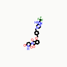 O=C1CCC(N2C(=O)c3cccc(OCc4ccc(CN5CCN6N=C(C(F)(F)F)NC6C5)cc4)c3C2=O)C(=O)N1